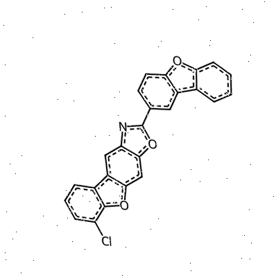 Clc1cccc2c1oc1cc3oc(-c4ccc5oc6ccccc6c5c4)nc3cc12